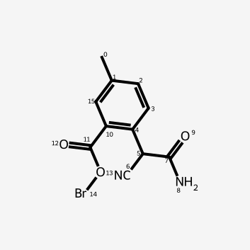 Cc1ccc(C(C#N)C(N)=O)c(C(=O)OBr)c1